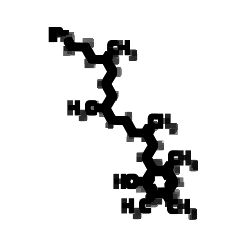 C=C(CCCC(C)CCCC(C)CCCC(C)C)CCc1c(C)[c]c(C)c(C)c1O